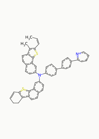 C/C=C\c1sc2c(ccc3ccc(N(c4ccc(-c5ccc(-c6ccccn6)cc5)cc4)c4ccc5ccc6c7c(sc6c5c4)C=CCC7)cc32)c1C